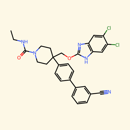 CCNC(=O)N1CCC(COc2nc3cc(Cl)c(Cl)cc3[nH]2)(c2ccc(-c3cccc(C#N)c3)cc2)CC1